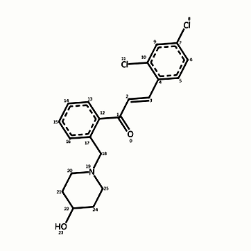 O=C(C=Cc1ccc(Cl)cc1Cl)c1ccccc1CN1CCC(O)CC1